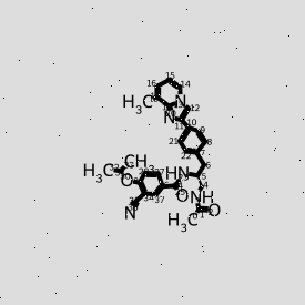 CC(=O)NC[C@H](Cc1ccc(-c2cn3cccc(C)c3n2)cc1)NC(=O)c1ccc(OC(C)C)c(C#N)c1